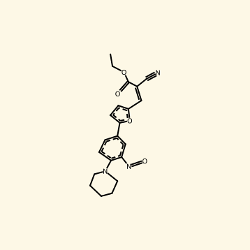 CCOC(=O)/C(C#N)=C\c1ccc(-c2ccc(N3CCCCC3)c(N=O)c2)o1